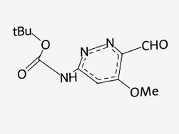 COc1cc(NC(=O)OC(C)(C)C)nnc1C=O